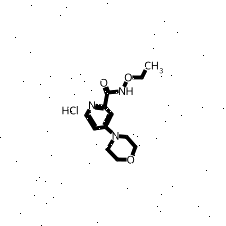 CCONC(=O)c1cc(N2CCOCC2)ccn1.Cl